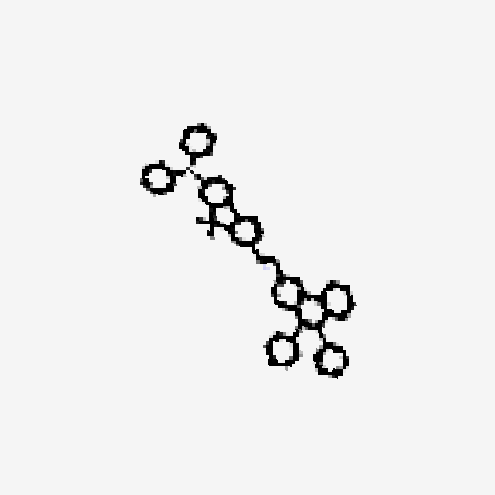 CC1(C)c2cc(/C=C/c3ccc4c(-c5ccccc5)c(-c5ccccc5)c5ccccc5c4c3)ccc2-c2ccc(N(c3ccccc3)c3ccccc3)cc21